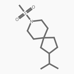 CC(C)C1CCC2(CCN(S(C)(=O)=O)CC2)C1